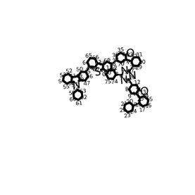 c1ccc(-c2nc(-c3ccc4c(c3)oc3cccc(-c5ccccc5)c34)nc(-c3cccc4oc5ccc(-c6ccc7sc8c(-c9ccc%10c(c9)c9ccccc9n%10-c9ccccc9)cccc8c7c6)cc5c34)n2)cc1